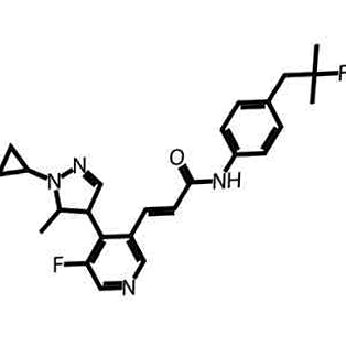 CC1C(c2c(F)cncc2/C=C/C(=O)Nc2ccc(CC(C)(C)F)cc2)C=NN1C1CC1